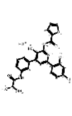 C[C@H](N)C(=O)Nc1cccc(-c2cc(-c3ccc(Cl)cc3O)nc(NC(=O)c3ccco3)c2C#N)c1.Cl